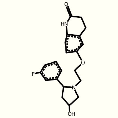 O=C1CCc2cc(OCCN3CC(O)CC3c3cccc(F)c3)ccc2N1